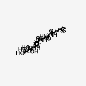 O=C(CCCCC1CCSS1)NCC(=O)NCCNC(=O)c1ccc(NCC(O)C(O)CC(O)CO)cc1